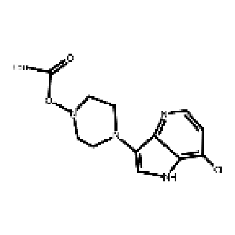 CC(C)(C)C(=O)ON1CCN(c2c[nH]c3c(Cl)ccnc23)CC1